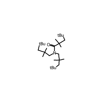 CC(C)(C)CC(C)(C)CN(CC(C)(C)CC(C)(C)C)C(=O)C(C)(C)CC(C)(C)C